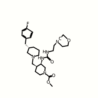 COC(=O)N1CC[C@@H](CN2CCC[C@@H](Cc3ccc(F)cc3)C2)[C@@H](NC(=O)NCCN2CCOCC2)C1